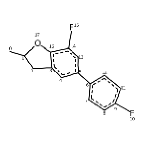 CC1Cc2cc(-c3ccc(F)cc3)cc(F)c2O1